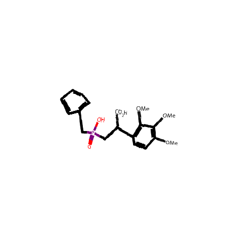 COc1ccc(C(CP(=O)(O)Cc2ccccc2)C(=O)O)c(OC)c1OC